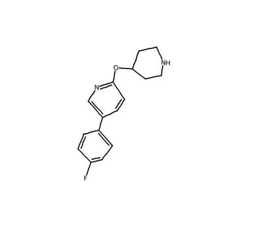 Fc1ccc(-c2ccc(OC3CCNCC3)nc2)cc1